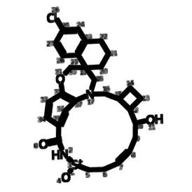 O=C1N[S+]([O-])CC/C=C\CC(O)C2CCC2CN2CC3(CCCc4cc(Cl)ccc43)COc3ccc1cc32